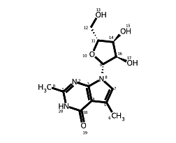 Cc1nc2c(c(C)cn2[C@@H]2O[C@H](CO)[C@@H](O)[C@H]2O)c(=O)[nH]1